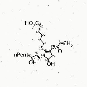 C=CC(=O)OC1=C(SCCCCCC(=O)O)[C@@H](/C=C/[C@@H](O)CCCCC)[C@H](O)C1